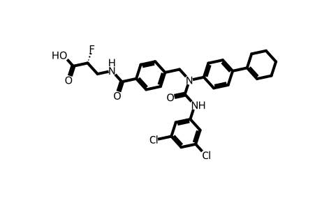 O=C(NC[C@@H](F)C(=O)O)c1ccc(CN(C(=O)Nc2cc(Cl)cc(Cl)c2)c2ccc(C3=CCCCC3)cc2)cc1